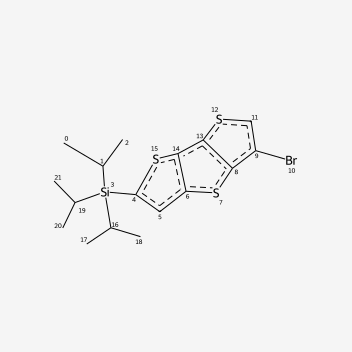 CC(C)[Si](c1cc2sc3c(Br)csc3c2s1)(C(C)C)C(C)C